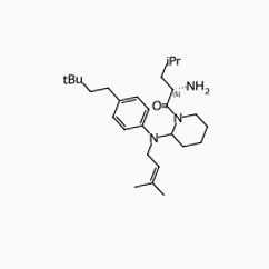 CC(C)=CCN(c1ccc(CCC(C)(C)C)cc1)C1CCCCN1C(=O)[C@@H](N)CC(C)C